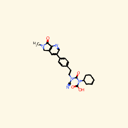 CN1Cc2cc(-c3ccc(CCN(C#N)C(=O)N(C(=O)O)C4CCCCC4)cc3)cnc2C1=O